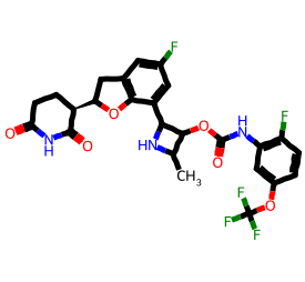 CC1NC(c2cc(F)cc3c2OC([C@@H]2CCC(=O)NC2=O)C3)C1OC(=O)Nc1cc(OC(F)(F)F)ccc1F